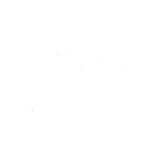 CC(=O)N1CCN(C(=O)Nc2n[nH]c3cc(-c4cccc(C)c4)ccc23)CC1